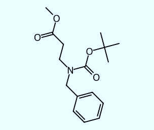 COC(=O)CCN(Cc1ccccc1)C(=O)OC(C)(C)C